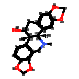 CN1Cc2c(ccc3c2OCO3)[C@@H]2[C@H]1c1cc3c(cc1C[C@@H]2O)OCO3